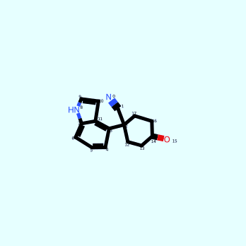 N#CC1(c2cccc3[nH]ccc23)CCC(=O)CC1